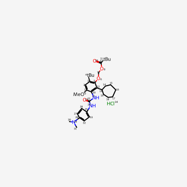 COc1cc(C(C)(C)C)c(OCOC(=O)C(C)(C)C)c(C2CCCCCC2)c1NC(=O)Nc1ccc(N(C)C)cc1.Cl